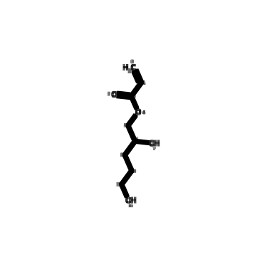 C=CC(=O)OCC(O)CCCO